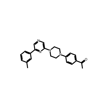 CC(=O)c1ccc(N2CCN(c3cncc(-c4cccc(C)c4)n3)CC2)cc1